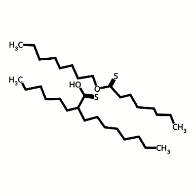 CCCCCCCCC(CCCCCC)C(O)=S.CCCCCCCCOC(=S)CCCCCCC